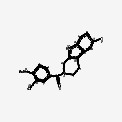 CC(=O)Nc1ccc(C(=O)N2CCc3c([nH]c4ccc(Cl)cc34)C2)cc1Cl